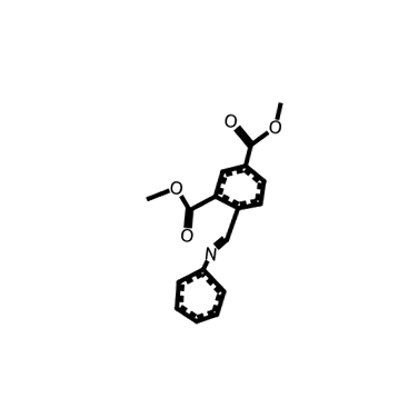 COC(=O)c1ccc(/C=N/c2ccccc2)c(C(=O)OC)c1